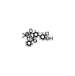 CC(C)(C)OOC(=O)c1ccc(-c2ccc(O)c(Cl)c2)cc1NC(=O)c1ccccc1